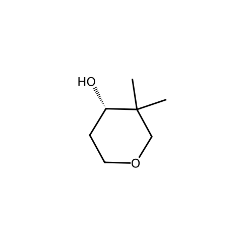 CC1(C)COCC[C@@H]1O